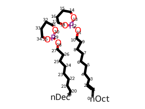 CCCCCCCCC=CCCCCCCCCOP1OCCCCO1.CCCCCCCCCCCCCCCCCCOP1OCCCCO1